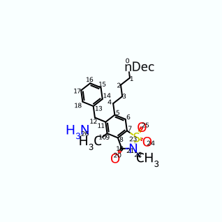 CCCCCCCCCCCCCCc1cc2c(c(C)c1Cc1ccccc1)C(=O)N(C)S2(=O)=O.N